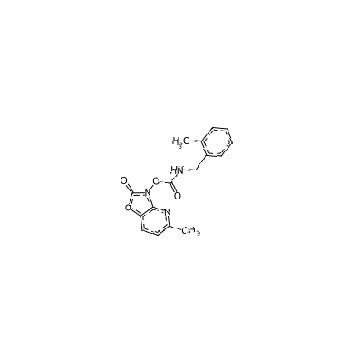 Cc1ccc2oc(=O)n(OC(=O)NCc3ccccc3C)c2n1